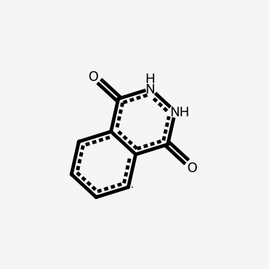 O=c1[nH][nH]c(=O)c2ccc[c]c12